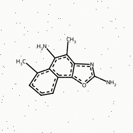 Cc1c(N)c2c(C)cccc2c2oc(N)nc12